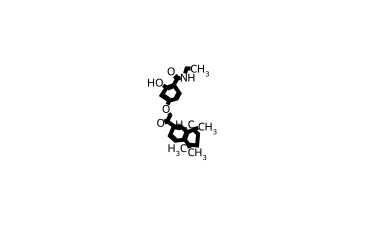 CCNC(=O)c1ccc(OCC(=O)c2ccc3c(c2)C(C)(C)CCC3(C)C)cc1O